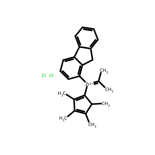 CC1=C(C)C(C)[C]([Zr+2](=[C](C)C)[c]2cccc3c2Cc2ccccc2-3)=C1C.[Cl-].[Cl-]